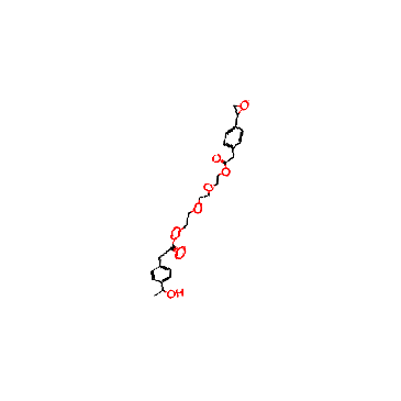 CC(O)c1ccc(CC(=O)OCCOCCOCCOC(=O)Cc2ccc(C3CO3)cc2)cc1